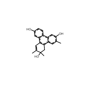 CC1=Cc2c(c3cc(C)c(O)cc3c3ccc(O)cc23)CC1(C)O